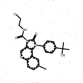 CC(C)(C#N)c1ccc(-n2c(=O)n(C(=O)NCCCl)c3cnc4ccc(Br)cc4c32)cc1